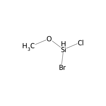 CO[SiH](Cl)Br